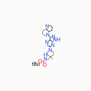 C[C@H]1CCN(c2n[nH]c3nc(N4CCC(C)(CNC(=O)OC(C)(C)C)CC4)cnc23)c2cccnc21